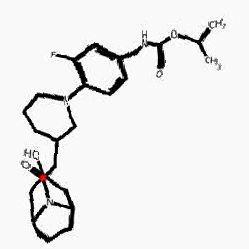 CC(C)OC(=O)Nc1ccc(N2CCCC(CC(=O)N3C4CCC3CC(O)C4)C2)c(F)c1